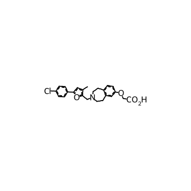 Cc1cc(-c2ccc(Cl)cc2)oc1CN1CCc2ccc(OCC(=O)O)cc2CC1